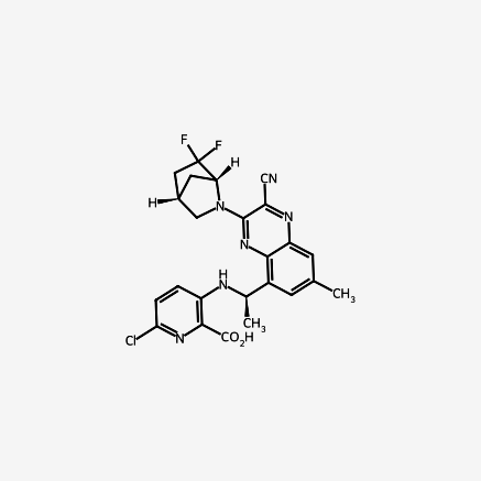 Cc1cc([C@@H](C)Nc2ccc(Cl)nc2C(=O)O)c2nc(N3C[C@H]4C[C@@H]3C(F)(F)C4)c(C#N)nc2c1